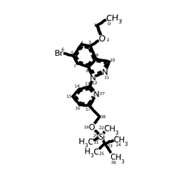 CCOc1cc(Br)cc2c1cnn2-c1cccc(CO[Si](C)(C)C(C)(C)C)n1